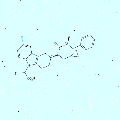 CCC(C(=O)O)n1c2c(c3cc(F)ccc31)C[C@@H](N(CC1CC1)C(=O)[C@@H](C)Cc1ccccc1)CC2